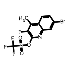 Cc1c(F)c(OS(=O)(=O)C(F)(F)F)nc2cc(Br)ccc12